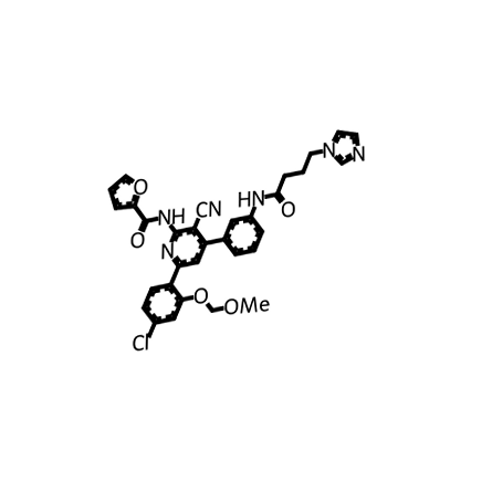 COCOc1cc(Cl)ccc1-c1cc(-c2cccc(NC(=O)CCCn3ccnc3)c2)c(C#N)c(NC(=O)c2ccco2)n1